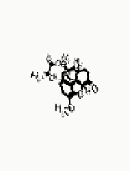 C=C(C)C(=O)O.COc1ccc2c3c1O[C@H]1C(=O)CC[C@H]4[C@@H](C2)N(C)CC[C@]314